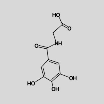 O=C(O)CNC(=O)c1cc(O)c(O)c(O)c1